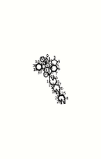 CN(C1CCc2ccc(C(=O)N3CCC4(CC3)CCN(c3ccncc3)CC4)cc21)S(=O)(=O)c1ccccc1Cl